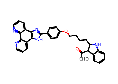 O=CC(=O)C1c2ccccc2NC1CCCCOc1ccc(-c2nc3c4cccnc4c4ncccc4c3[nH]2)cc1